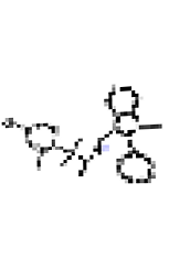 C=C(/C=C/c1c(-c2ccccc2)n(C)c2ccccc12)C(C)(C)c1ccc(Cl)cc1C